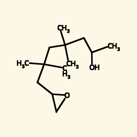 CC(O)CC(C)(C)CC(C)(C)CC1CO1